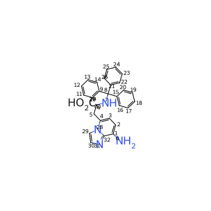 Nc1ccc(C[C@H](NC(c2ccccc2)(c2ccccc2)c2ccccc2)C(=O)O)n2ccnc12